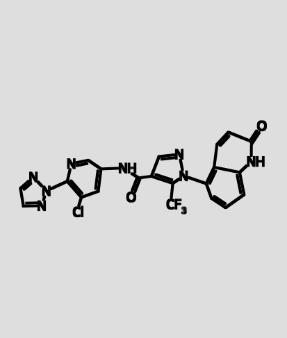 O=C(Nc1cnc(-n2nccn2)c(Cl)c1)c1cnn(-c2cccc3[nH]c(=O)ccc23)c1C(F)(F)F